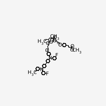 CCC(CC(C)(C)C(=O)OCCCOc1ccc(/C=C/C(=O)OC)cc1)C(=O)OCCCOc1ccc(N(c2ccc(-c3ccc(N(c4cccc(C)c4)c4cccc(F)c4)cc3)cc2)c2cccc(F)c2)cc1